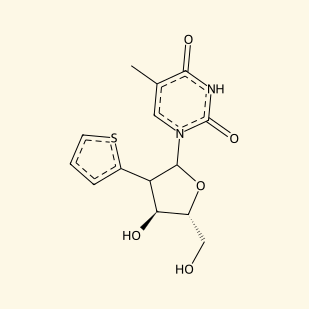 Cc1cn(C2O[C@H](CO)[C@@H](O)C2c2cccs2)c(=O)[nH]c1=O